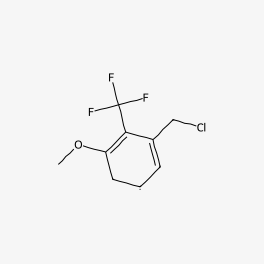 COC1=C(C(F)(F)F)C(CCl)=C[CH]C1